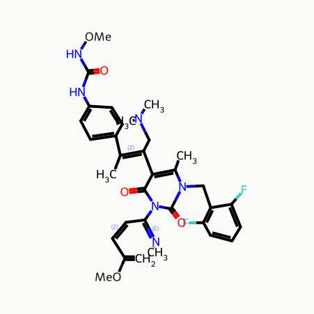 C=C(/C=C\C(=N/C)n1c(=O)c(/C(CN(C)C)=C(\C)c2ccc(NC(=O)NOC)cc2)c(C)n(Cc2c(F)cccc2F)c1=O)OC